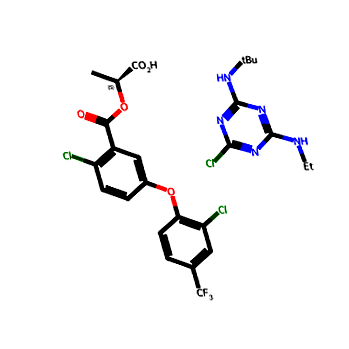 CCNc1nc(Cl)nc(NC(C)(C)C)n1.C[C@H](OC(=O)c1cc(Oc2ccc(C(F)(F)F)cc2Cl)ccc1Cl)C(=O)O